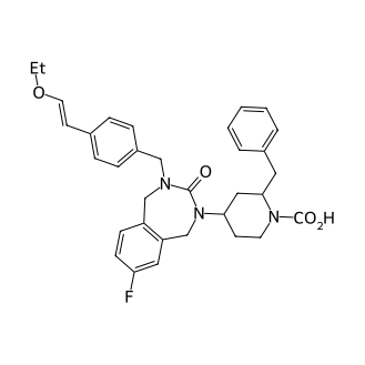 CCO/C=C/c1ccc(CN2Cc3ccc(F)cc3CN(C3CCN(C(=O)O)C(Cc4ccccc4)C3)C2=O)cc1